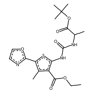 CCOC(=O)c1c(NC(=O)NC(C)C(=O)OC(C)(C)C)sc(-c2ncco2)c1C